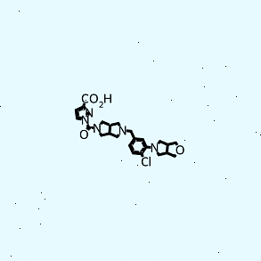 O=C(O)c1ccn(C(=O)N2CC3CN(Cc4ccc(Cl)c(N5CC6COCC6C5)c4)CC3C2)n1